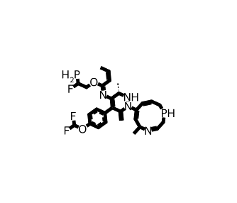 C=C1C(c2ccc(OC(F)F)cc2)=C(/N=C(\C=C/C)OCC(F)P)[C@H](C)NN1C1=C/C(C)/N=C\CPC/C=C\1